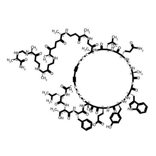 CC(=O)N[C@@H](CC(C)C)C(=O)N[C@H](C(=O)N[C@@H](Cc1ccccc1)C(=O)N[C@]1(C)CCCCC#CC#CCCC[C@@](C)(C(=O)CN[C@@H](C)C(=O)CCN[C@@H](C)C(=O)CCC(=O)[C@H](C)NCCC(=O)[C@H](C)NCCC(=O)[C@H](C)NCN[C@H](C)C(N)=O)NC(=O)[C@H](CC(C)C)NC(=O)[C@H](CCC(N)=O)NCN[C@@H](C)C(=O)CC(=O)[C@H](Cc2c[nH]c3ccccc23)NN[C@@H](Cc2ccc(O)cc2)C(=O)N[C@@H](CCC(=O)O)C(=O)C1=O)[C@@H](C)O